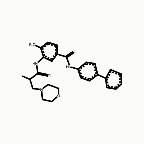 CC(CN1CCOCC1)C(=O)Nc1cc(C(=O)Nc2ccc(-c3ccccc3)cc2)ccc1C(F)(F)F